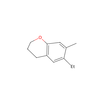 CCc1cc2c(cc1C)OCCC2